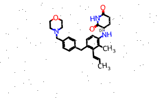 CC=Cc1c(Cc2ccc(CN3CCOCC3)cc2)ccc(N[C@H]2CCC(=O)NC2=O)c1C